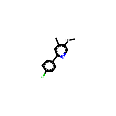 CBc1cnc(-c2ccc(Cl)cc2)cc1C